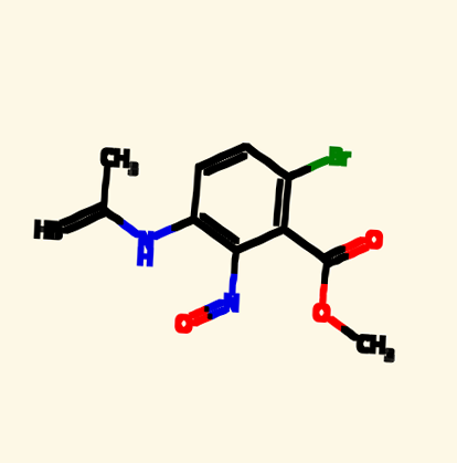 B=C(C)Nc1ccc(Br)c(C(=O)OC)c1N=O